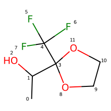 CC(O)C1(C(F)(F)F)OCCO1